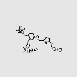 CC(C)(C)[Si](C)(C)OCc1ccc(OCc2ccc(CCC=O)s2)cc1CO[Si](C)(C)C(C)(C)C